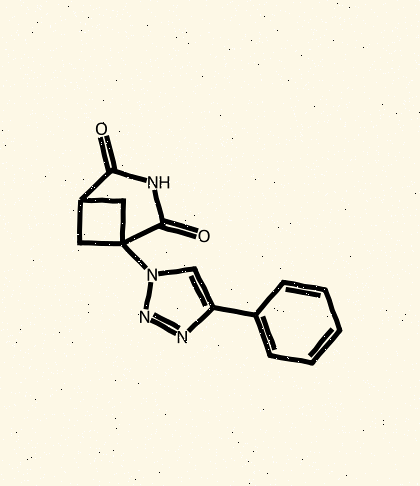 O=C1NC(=O)C2(n3cc(-c4ccccc4)nn3)CC1C2